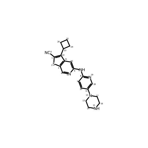 N#Cc1sc2cnc(Nc3ccc(N4CCNCC4)cn3)cc2c1C1CCC1